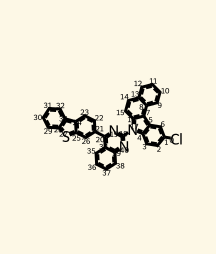 Clc1ccc2c(c1)c1c3ccccc3ccc1n2-c1nc(-c2ccc3c(c2)sc2ccccc23)c2ccccc2n1